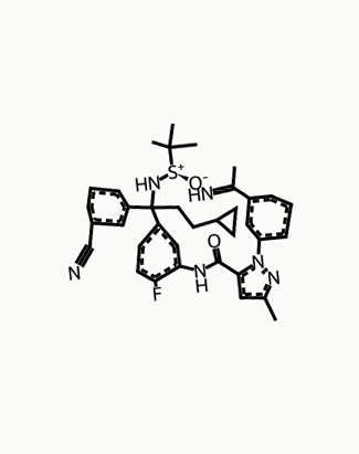 CC(=N)c1cccc(-n2nc(C)cc2C(=O)Nc2cc(C(CCC3CC3)(N[S@+]([O-])C(C)(C)C)c3cccc(C#N)c3)ccc2F)c1